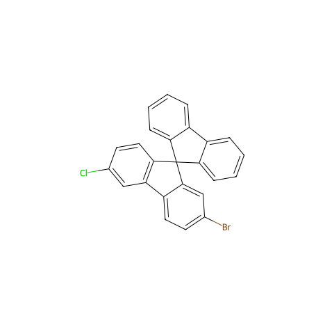 Clc1ccc2c(c1)-c1ccc(Br)cc1C21c2ccccc2-c2ccccc21